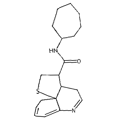 O=C(NC1CCCCCC1)C1CSC23CC=CC=C2N=CCC13